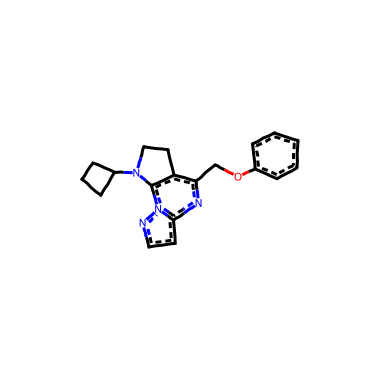 c1ccc(OCc2nc3ccnn3c3c2CCN3C2CCC2)cc1